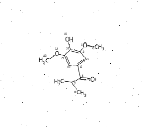 COc1cc(C(=O)C(C)C)cc(OC)c1O